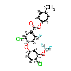 Cc1ccc(OC(=O)c2cc(Cl)c(Oc3ccc(Cl)c(OC(F)F)c3)cc2F)cc1